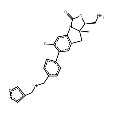 NC[C@@H]1OC(=O)N2c3cc(F)c(-c4ccc(CNCc5cnoc5)cc4)cc3C[C@@H]12